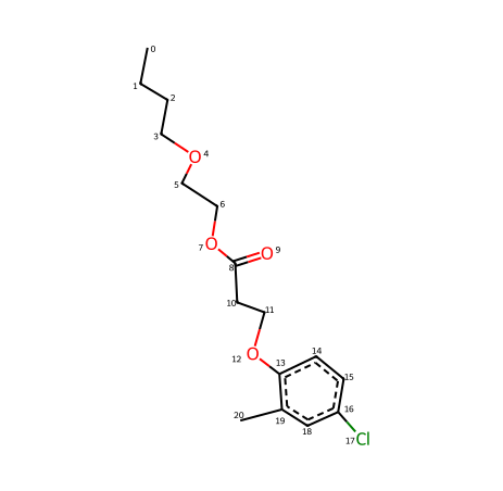 CCCCOCCOC(=O)CCOc1ccc(Cl)cc1C